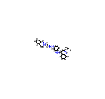 Cc1cc(Nc2cccc(CNCCN3CCc4ccccc4C3)c2)c2ccccc2n1